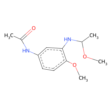 COc1ccc(NC(C)=O)cc1NC(C)OC